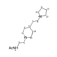 CC(=O)NCCN1CCC(CCN2CCCC2)CC1